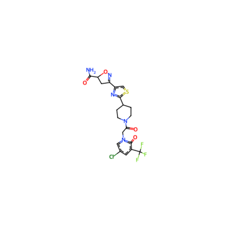 NC(=O)C1CC(c2csc(C3CCN(C(=O)Cn4cc(Cl)cc(C(F)(F)F)c4=O)CC3)n2)=NO1